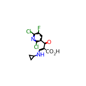 O=C(O)C(=CNC1CC1)C(=O)c1cc(F)c(Cl)nc1Cl